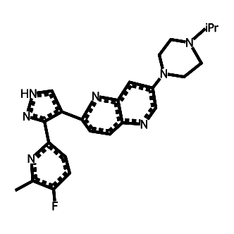 Cc1nc(-c2n[nH]cc2-c2ccc3ncc(N4CCN(C(C)C)CC4)cc3n2)ccc1F